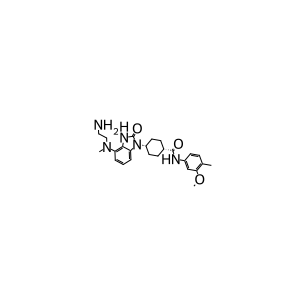 COc1cc(NC(=O)[C@H]2CC[C@@H](n3c(=O)[nH]c4c(N(C)CCN)cccc43)CC2)ccc1C